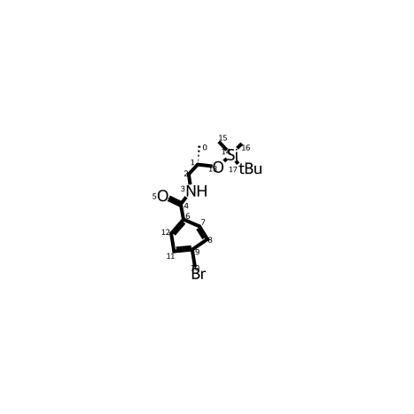 C[C@@H](CNC(=O)c1ccc(Br)cc1)O[Si](C)(C)C(C)(C)C